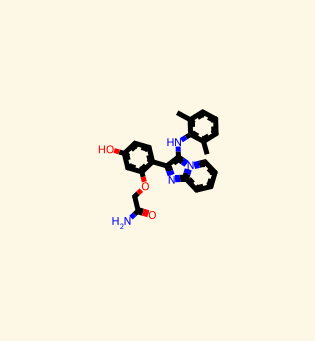 Cc1cccc(C)c1Nc1c(-c2ccc(O)cc2OCC(N)=O)nc2ccccn12